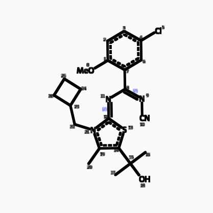 COc1ccc(Cl)cc1C(=N/C#N)/N=c1\sc(C(C)(C)O)c(C)n1CC1CCC1